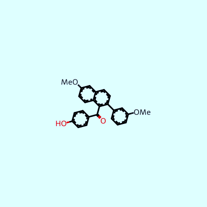 COc1cccc(-c2ccc3cc(OC)ccc3c2C(=O)c2ccc(O)cc2)c1